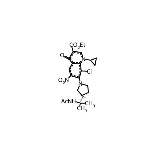 CCOC(=O)c1cn(C2CC2)c2c(Cl)c(N3CC[C@H](C(C)(C)NC(C)=O)C3)c([N+](=O)[O-])cc2c1=O